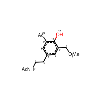 COCc1cc(CCNC(C)=O)cc(C(C)=O)c1O